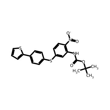 CC(C)(C)OC(=O)Nc1cc(Sc2ccc(-c3cccs3)cc2)ccc1[N+](=O)[O-]